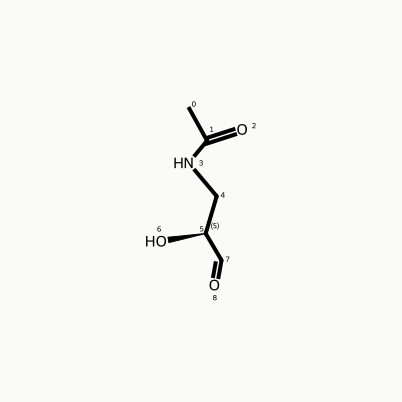 CC(=O)NC[C@H](O)C=O